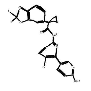 COc1ccc(-c2nc(NC(=O)C3(c4ccc5c(c4)OC(F)(F)O5)CC3)ccc2Cl)cn1